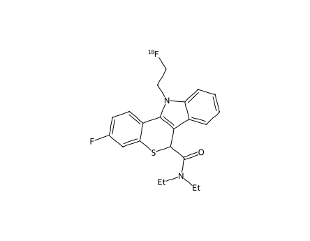 CCN(CC)C(=O)C1Sc2cc(F)ccc2-c2c1c1ccccc1n2CC[18F]